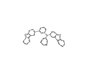 c1ccc(N(c2cccc(-c3ccc4oc5ccccc5c4c3)c2)c2ccc3oc4ccccc4c3c2)cc1